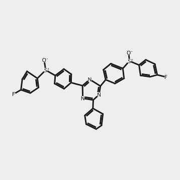 [O-][S+](c1ccc(F)cc1)c1ccc(-c2nc(-c3ccccc3)nc(-c3ccc([S+]([O-])c4ccc(F)cc4)cc3)n2)cc1